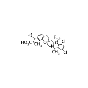 CC(c1cc(Cl)cc(Cl)c1OC(F)F)N1CCC2(CCc3ccc(C(C4CC4)[C@H](C)C(=O)O)cc3O2)CC1